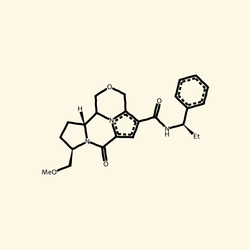 CC[C@@H](NC(=O)c1cc2n3c1COCC3[C@H]1CC[C@H](COC)N1C2=O)c1ccccc1